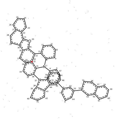 c1cc(-c2ccc(N(c3ccccc3-c3cccc4c3oc3c5ccccc5ccc43)c3ccccc3-n3c4ccccc4c4ccccc43)cc2)cc(-c2ccc3ccccc3c2)c1